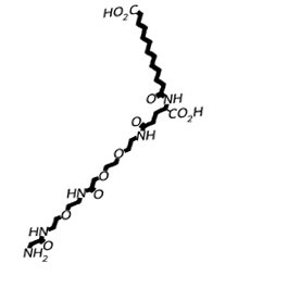 NCC(=O)NCCOCCNC(=O)COCCOCCNC(=O)CC[C@H](NC(=O)CCCCCCCCCCCC(=O)O)C(=O)O